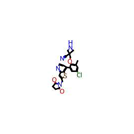 Cc1cc(Cl)cc(-c2ccnc3cc(CN4C(=O)CCC4=O)sc23)c1OCC1(C#N)CNC1